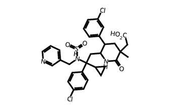 CC1(CC(=O)O)CC(c2cccc(Cl)c2)C(CC(c2ccc(Cl)cc2)(C2CC2)N(Cc2cccnc2)[SH](=O)=O)NC1=O